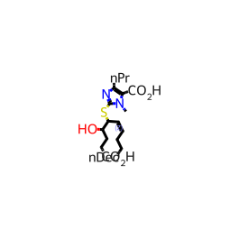 CCCCCCCCCCCC/C=C\C(Sc1nc(CCC)c(C(=O)O)n1C)C(O)CCC(=O)O